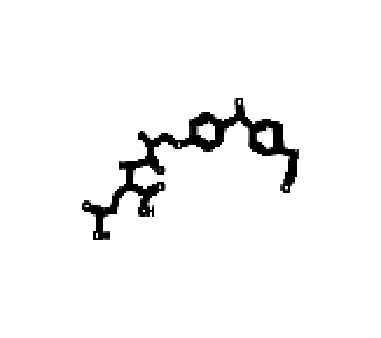 CC(COc1ccc(C(=O)c2ccc(N=C=O)cc2)cc1)C(=O)NC(CCC(=O)O)C(=O)O